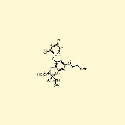 COCCOc1ccc(CN(C(=O)O)S(=O)(=O)NC(C)(C)C)c(Oc2ncc(C(F)(F)F)cc2Cl)c1